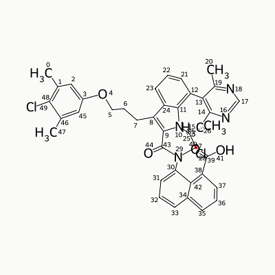 Cc1cc(OCCCc2c3n(c4c(-c5c(C)ncnc5C)cccc24)[C@H](C)C(Cl)N(c2cccc4cccc(C(=O)O)c24)C3=O)cc(C)c1Cl